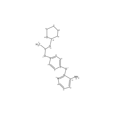 CC(Oc1ccc(Oc2ncccc2N)cc1)OC1CCCCO1